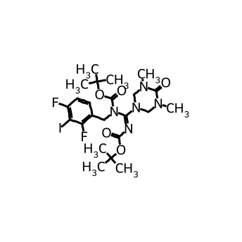 CN1CN(/C(=N/C(=O)OC(C)(C)C)N(Cc2ccc(F)c(I)c2F)C(=O)OC(C)(C)C)CN(C)C1=O